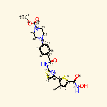 Cc1cc(C(=O)NO)sc1-c1csc(NC(=O)c2ccc(N3CCN(C(=O)OC(C)(C)C)CC3)cc2)n1